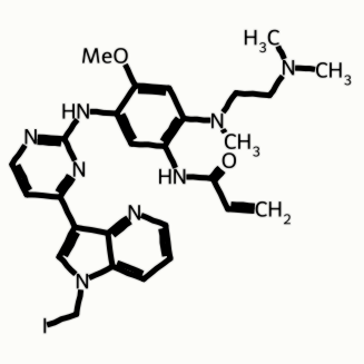 C=CC(=O)Nc1cc(Nc2nccc(-c3cn(CI)c4cccnc34)n2)c(OC)cc1N(C)CCN(C)C